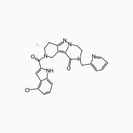 C[C@@H]1Cc2nn3c(c2CN1C(=O)c1cc2c(Cl)cccc2[nH]1)C(=O)N(Cc1ccccn1)CC3